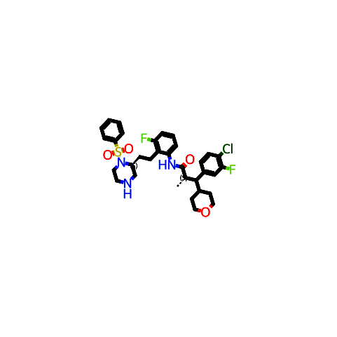 C[C@H](C(=O)Nc1cccc(F)c1CC[C@H]1CNCCN1S(=O)(=O)c1ccccc1)C(c1ccc(Cl)c(F)c1)C1CCOCC1